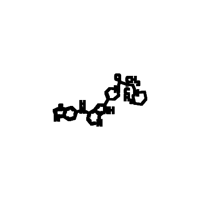 CC(C)(CN1CCCCC1)C(=O)N1CC=C(c2cc3c(Nc4ccc5ncsc5c4)ccnc3[nH]2)CC1